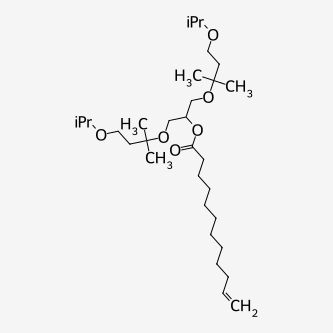 C=CCCCCCCCCCC(=O)OC(COC(C)(C)CCOC(C)C)COC(C)(C)CCOC(C)C